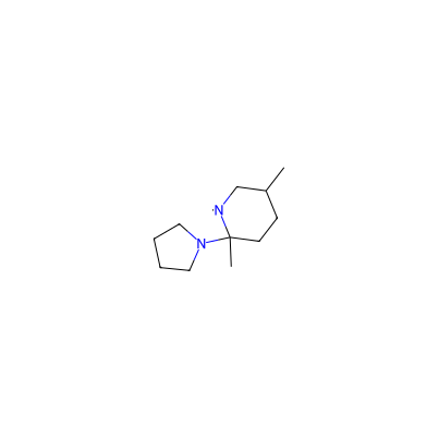 CC1CCC(C)(N2CCCC2)[N]C1